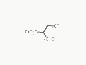 CCOC(=O)C(C=O)CC(F)(F)F